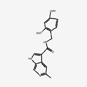 COc1ccc(CNC(=O)c2c[nH]c3cnc(C)cc23)c(OC)c1